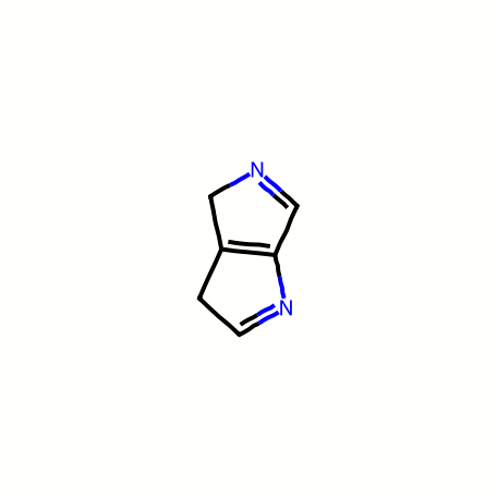 C1=NCC2=C1N=CC2